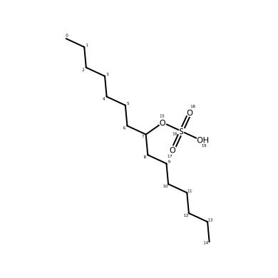 CCCCCCCC(CCCCCCC)OS(=O)(=O)O